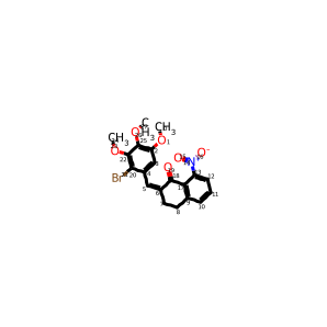 COc1cc(C=C2CCc3cccc([N+](=O)[O-])c3C2=O)c(Br)c(OC)c1OC